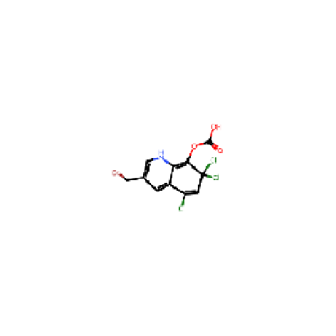 O=C(O)OC1=C2NC=C(CBr)C=C2C(Cl)=CC1(Cl)Cl